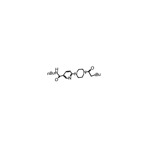 CCCCNC(=O)c1ccc(N2CCN(C(=O)CC(C)CC)CC2)nc1